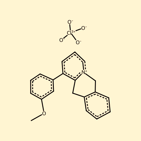 COc1cccc(-c2ccc[n+]3c2Cc2ccccc2C3)c1.[O-][Cl+3]([O-])([O-])[O-]